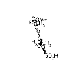 CCC(C)(COCOCCSCC(C)(C)C(=O)OCCCS(=O)(=O)O)C(=O)OC